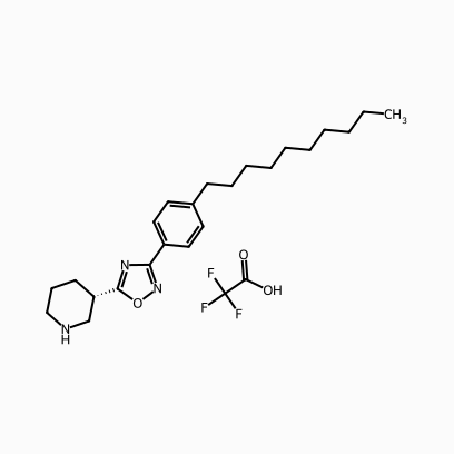 CCCCCCCCCCc1ccc(-c2noc([C@H]3CCCNC3)n2)cc1.O=C(O)C(F)(F)F